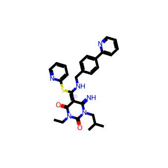 CCN1C(=O)/C(=C(/NCc2ccc(-c3ccccn3)cc2)Sc2ccccn2)C(=N)N(CC(C)C)C1=O